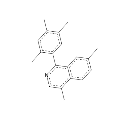 Cc1ccc2c(C)cnc(-c3cc(C)c(C)cc3C)c2c1